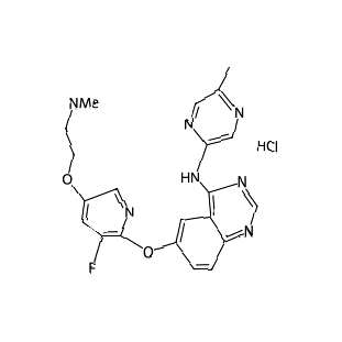 CNCCOc1cnc(Oc2ccc3ncnc(Nc4cnc(C)cn4)c3c2)c(F)c1.Cl